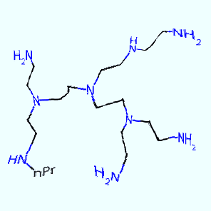 CCCNCCN(CCN)CCN(CCNCCN)CCN(CCN)CCN